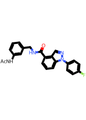 CC(=O)Nc1cccc(CNC(=O)c2cccc3c2cnn3-c2ccc(F)cc2)c1